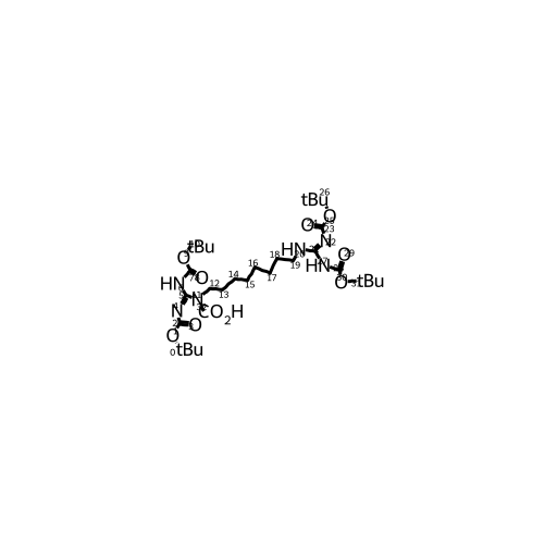 CC(C)(C)OC(=O)/N=C(/NC(=O)OC(C)(C)C)N(CCCCCCCCN/C(=N\C(=O)OC(C)(C)C)NC(=O)OC(C)(C)C)C(=O)O